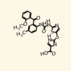 COc1ccccc1C(=O)c1cc(C)ccc1NC(=O)Nc1ncc(Sc2nc(C(=O)O)c[nH]2)s1